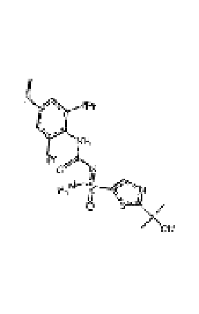 C=Nc1cc(C(C)C)c(NC(=O)N=S(N)(=O)c2cnc(C(C)(C)O)s2)c(C(C)C)c1